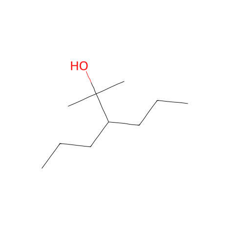 CCCC(CCC)C(C)(C)O